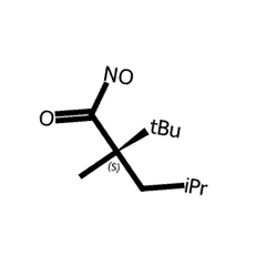 CC(C)C[C@](C)(C(=O)N=O)C(C)(C)C